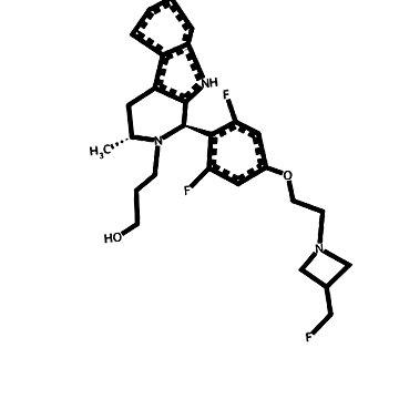 C[C@@H]1Cc2c([nH]c3ccccc23)[C@@H](c2c(F)cc(OCCN3CC(CF)C3)cc2F)N1CCCO